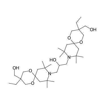 CCC1(CO)COC2(CC(C)(C)N(CC(O)CN3C(C)(C)CC4(CC3(C)C)OCC(CC)(CO)CO4)C(C)(C)C2)OC1